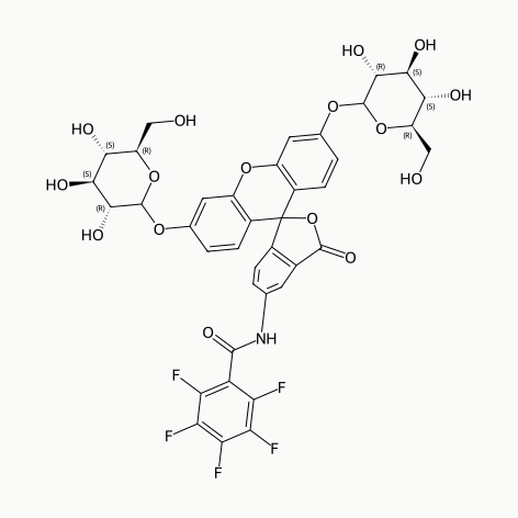 O=C1OC2(c3ccc(OC4O[C@H](CO)[C@@H](O)[C@H](O)[C@H]4O)cc3Oc3cc(OC4O[C@H](CO)[C@@H](O)[C@H](O)[C@H]4O)ccc32)c2ccc(NC(=O)c3c(F)c(F)c(F)c(F)c3F)cc21